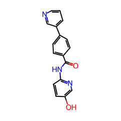 O=C(Nc1ccc(O)cn1)c1ccc(-c2cccnc2)cc1